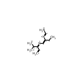 C=C\C(=N/C=C(CC)\N=C\N)C(C)C